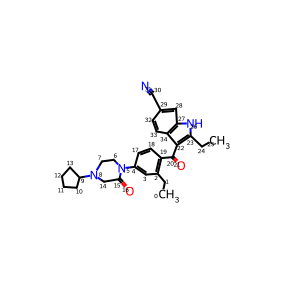 CCc1cc(N2CCN(C3CCCC3)CC2=O)ccc1C(=O)c1c(CC)[nH]c2cc(C#N)ccc12